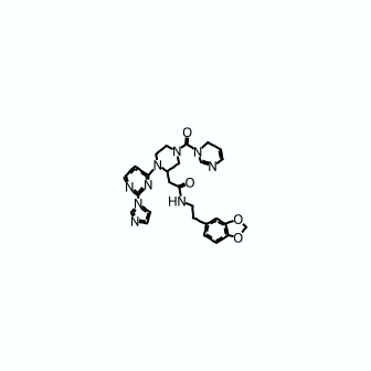 O=C(CC1CN(C(=O)N2C=NC=CC2)CCN1c1ccnc(-n2ccnc2)n1)NCCc1ccc2c(c1)OCO2